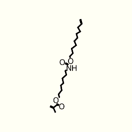 C=CCCCCCCCCCOC(=O)NCCCCCCCCOC(=O)C(=C)C